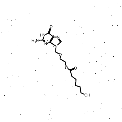 Nc1nc2c(ncn2COCCOC(=O)CCCCCO)c(=O)[nH]1